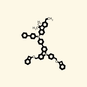 C=Cc1ccc2c(c1)C(C)(C)c1cc(N(c3ccc(-c4ccccc4)cc3)c3ccc(-c4ccc5c(c4)c4cc(COC6Cc7ccccc76)ccc4n5-c4ccc(COC5Cc6ccccc65)cc4)cc3)ccc1-2